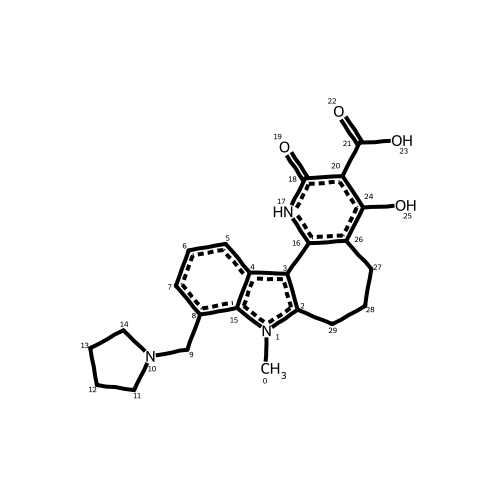 Cn1c2c(c3cccc(CN4CCCC4)c31)-c1[nH]c(=O)c(C(=O)O)c(O)c1CCC2